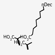 C=C(C)C(=O)O.C=C(C)C(=O)O.CCCCCCCCCCCCCCCCCC(=O)O